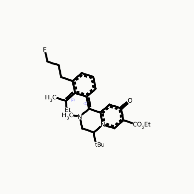 CCOC(=O)c1cn2c(cc1=O)/C(=c1\cccc(CCCF)\c1=C(/C)CC)N(C)CC2C(C)(C)C